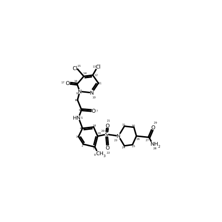 Cc1ccc(NC(=O)Cn2ncc(Cl)c(Cl)c2=O)cc1S(=O)(=O)N1CCC(C(N)=O)CC1